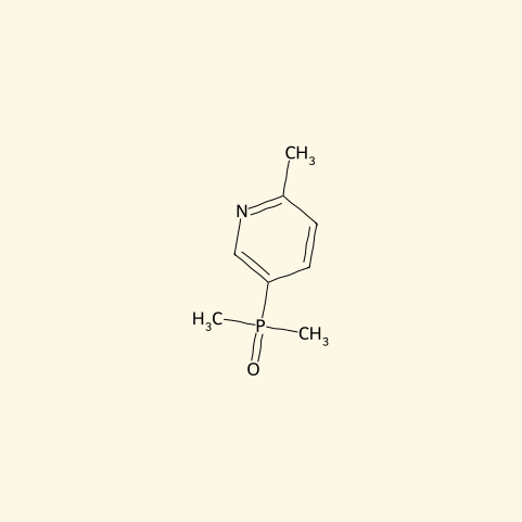 Cc1ccc(P(C)(C)=O)cn1